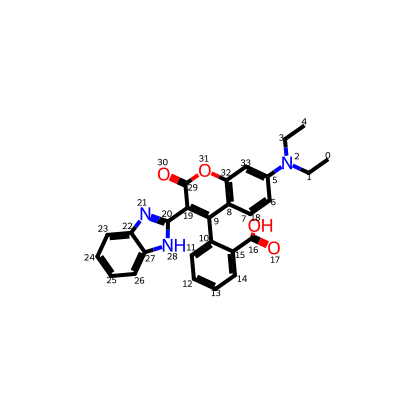 CCN(CC)c1ccc2c(-c3ccccc3C(=O)O)c(-c3nc4ccccc4[nH]3)c(=O)oc2c1